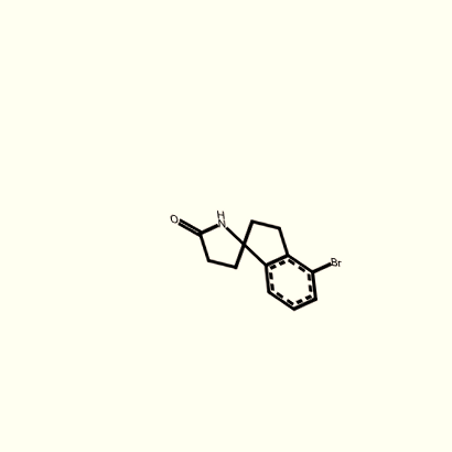 O=C1CCC2(CCc3c(Br)cccc32)N1